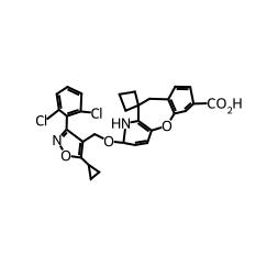 O=C(O)c1ccc2c(c1)OC1=C(NC(OCc3c(-c4c(Cl)cccc4Cl)noc3C3CC3)C=C1)C1(CCC1)C2